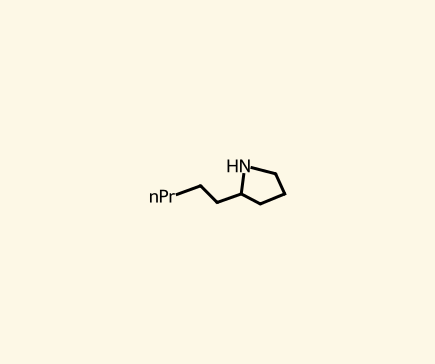 [CH2]CCCCC1CCCN1